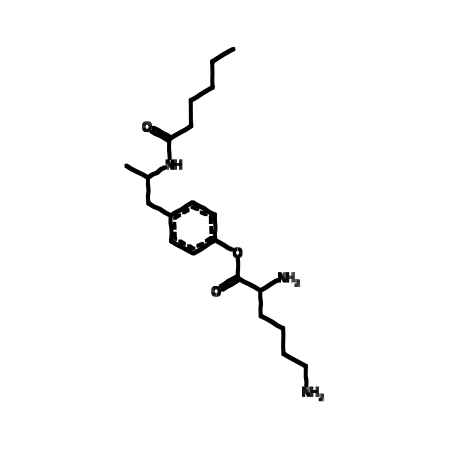 CCCCCC(=O)NC(C)Cc1ccc(OC(=O)C(N)CCCCN)cc1